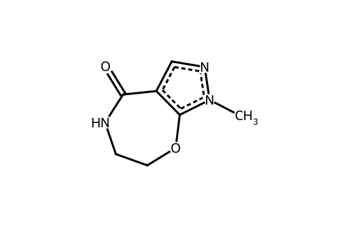 Cn1ncc2c1OCCNC2=O